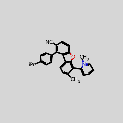 Cc1ccc2c(oc3ccc(C#N)c(-c4ccc(C(C)C)cc4)c32)c1-c1cccc[n+]1C